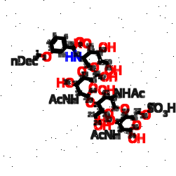 CCCCCCCCCCCOc1cccc(C(=O)NC2[C@H](O[C@H]3C(O)C(NC(C)=O)[C@H](O[C@@H]4C(CO)O[C@@H](O[C@H]5C(O)C(NC(C)=O)C(O)O[C@H]5COS(=O)(=O)O)C(NC(C)=O)[C@H]4O)O[C@H]3CO)OC(CO)[C@@H](O)[C@@H]2O)c1